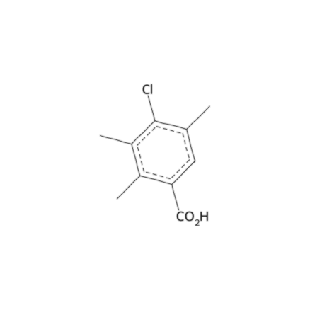 Cc1cc(C(=O)O)c(C)c(C)c1Cl